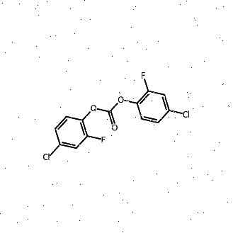 O=C(Oc1ccc(Cl)cc1F)Oc1ccc(Cl)cc1F